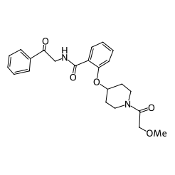 COCC(=O)N1CCC(Oc2ccccc2C(=O)NCC(=O)c2ccccc2)CC1